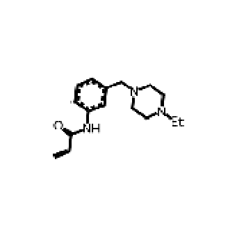 C=CC(=O)Nc1[c]ccc(CN2CCN(CC)CC2)c1